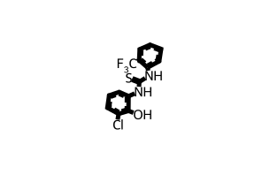 Oc1c(Cl)cccc1NC(=S)Nc1ccccc1C(F)(F)F